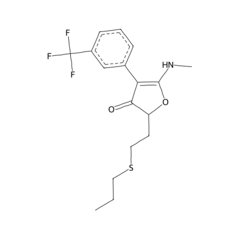 CCCSCCC1OC(NC)=C(c2cccc(C(F)(F)F)c2)C1=O